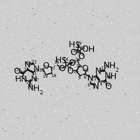 Nc1nc2c(ncn2C2C[C@@H](OP(=O)(S)OC[C@@H]3CC[C@H](n4cnc5c(=O)[nH]c(N)nc54)O3)[C@@H](COP(=O)(O)S)O2)c(=O)[nH]1